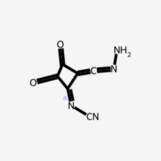 N#C/N=C1/C(=O)C(=O)C1=C=NN